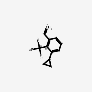 C=Cc1cccc(C2CC2)c1C(F)(F)F